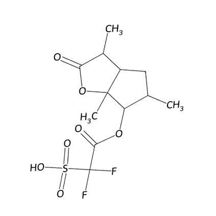 CC1CC2C(C)C(=O)OC2(C)C1OC(=O)C(F)(F)S(=O)(=O)O